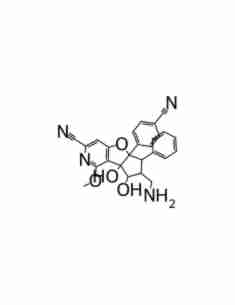 COc1nc(C#N)cc2c1C1(O)C(O)C(CN)C(c3ccccc3)C1(c1ccc(C#N)cc1)O2